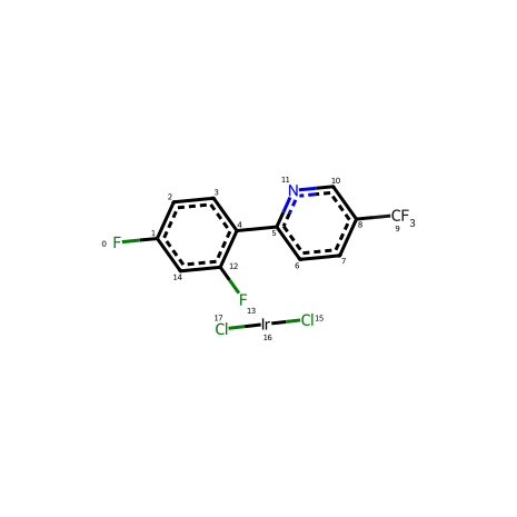 Fc1ccc(-c2ccc(C(F)(F)F)cn2)c(F)c1.[Cl][Ir][Cl]